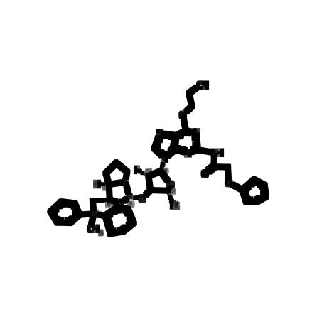 CC[C@H]1O[C@@H](n2cnc3c(OCCC#N)nc(NC(=O)COc4ccccc4)nc32)[C@@H](F)C1O[P@]1O[C@@H](C[Si](C)(c2ccccc2)c2ccccc2)[C@H]2CCCN21